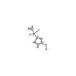 [CH2]Cc1cc(C(C)(C)O)cs1